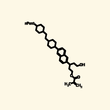 C=C(C)C(=O)OCCC(CCO)c1ccc2cc(C3CCC(CCC4CCC(CCCCC)CC4)CC3)ccc2c1